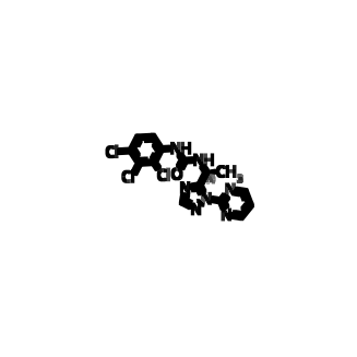 C[C@H](NC(=O)Nc1ccc(Cl)c(Cl)c1Cl)c1ncnn1-c1ncccn1